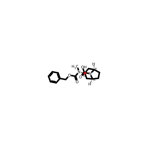 CN(C(=O)OCc1ccccc1)[C@@H]1C[C@H]2CC[C@@H](C1)N2C(=O)O